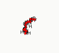 Cc1n[nH]c(Nc2ncnc3cc(OCCCN4CCN(C(=O)c5cnc(N6CCN(C[C@H]7CN[C@H](C)CN7CC(=O)N7CCC[C@H]7c7nc(C(=O)c8ccc(F)cc8)cs7)[C@H](C)C6)nc5)CC4)c(S(=O)(=O)C(C)(C)C)cc23)c1C